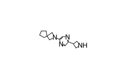 c1nc(N2CC3(CCCC3)C2)cnc1C1CNC1